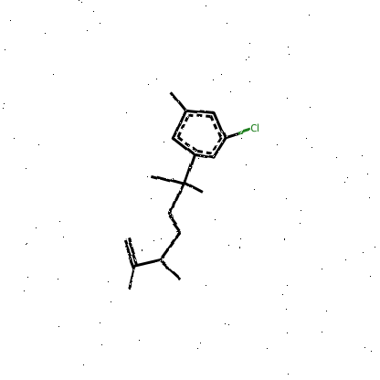 C=C(C)C(C)CCC(C)(C)c1cc(C)cc(Cl)c1